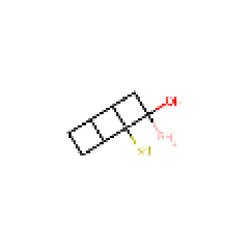 BC1(O)CC2C3CCC3C21S